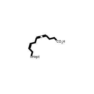 CCCCCCCC/C=C\CC=C=CCCC(=O)O